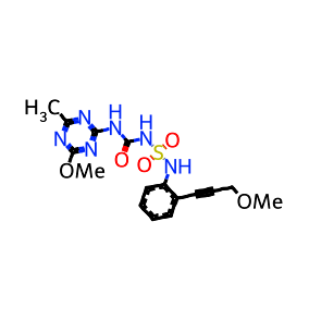 COCC#Cc1ccccc1NS(=O)(=O)NC(=O)Nc1nc(C)nc(OC)n1